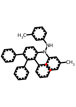 Cc1cccc(NN(c2cccc(C)c2)c2ccc(-c3ccccc3)c(-c3ccccc3)c2-c2ccccc2)c1